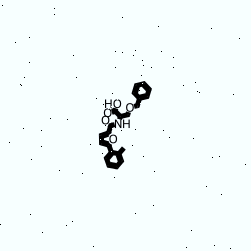 Cc1ccccc1-c1ccc(C(=O)NC(COCc2ccccc2)C(=O)O)o1